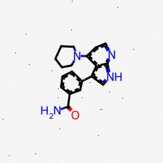 NC(=O)c1cccc(-c2c[nH]c3nccc(N4CCCCC4)c23)c1